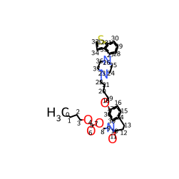 CCCCOC(=O)OCN1C(=O)CCc2ccc(OCCCCN3CCN(c4cccc5sccc45)CC3)cc21